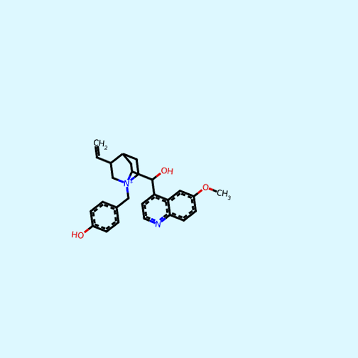 C=CC1C[N+]2(Cc3ccc(O)cc3)CCC1CC2C(O)c1ccnc2ccc(OC)cc12